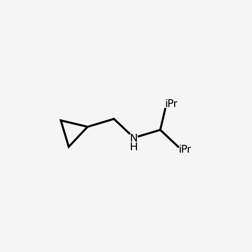 CC(C)C(NCC1CC1)C(C)C